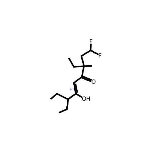 CCC(CC)/C(O)=C/C(=O)C(C)(CC)CC(F)F